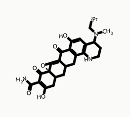 CC(C)CN(C)C1CCNc2c1cc(O)c1c2CC2CC3CC(O)=C(C(N)=O)C(=O)[C@]34OC4=C2C1=O